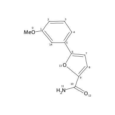 COc1cccc(-c2ccc(C(N)=O)o2)c1